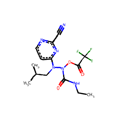 CCNC(=O)N(OC(=O)C(F)(F)F)N(CC(C)C)c1ccnc(C#N)n1